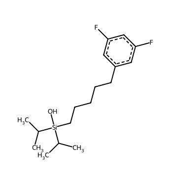 CC(C)[Si](O)(CCCCCc1cc(F)cc(F)c1)C(C)C